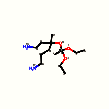 CCO[Si](C)(OCC)OC(C)(CCN)CCCN